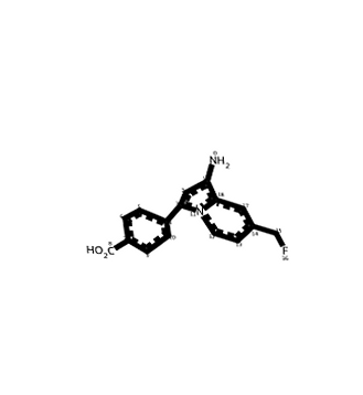 Nc1cc(-c2ccc(C(=O)O)cc2)n2ccc(CF)cc12